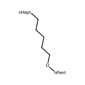 CCCCCCCCCCC[CH]OCCCCC